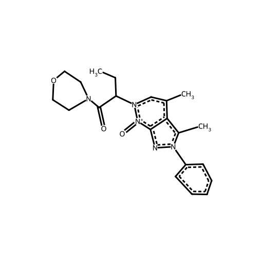 CCC(C(=O)N1CCOCC1)n1cc(C)c2c(C)n(-c3ccccc3)nc2[n+]1=O